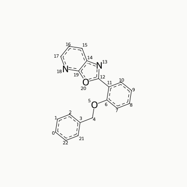 c1ccc(COc2ccccc2-c2nc3cccnc3o2)cc1